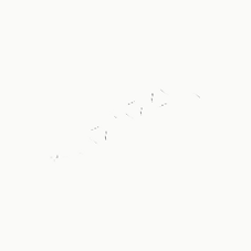 C=CCOc1ccc(-c2ccc(C(=O)Oc3ccc(C(C)C(=O)OC)cc3)cc2)cc1